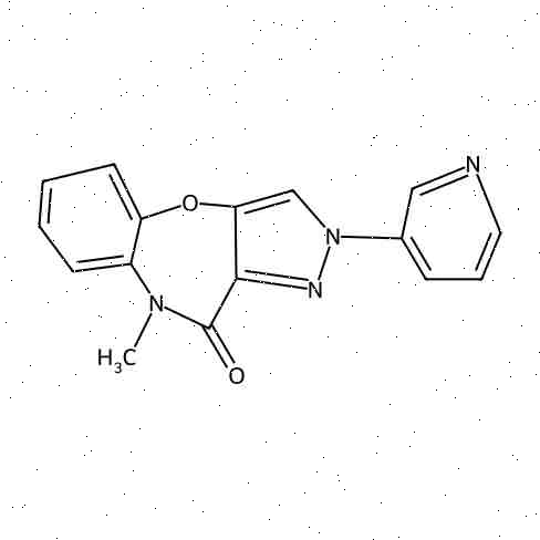 CN1C(=O)c2nn(-c3cccnc3)cc2Oc2ccccc21